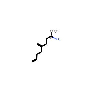 C=CCCC(=C)CC[C@H](N)C(=O)O